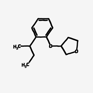 CCC(C)c1ccccc1OC1CCOC1